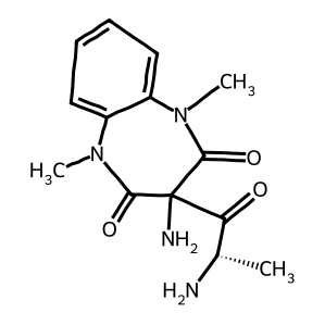 C[C@H](N)C(=O)C1(N)C(=O)N(C)c2ccccc2N(C)C1=O